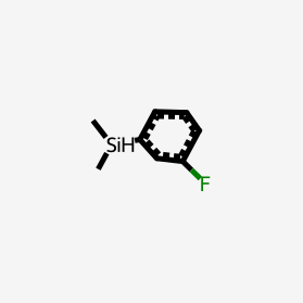 C[SiH](C)c1cccc(F)c1